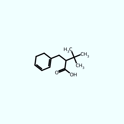 CC(C)(C)C(CC1=CC=CCC1)C(=O)O